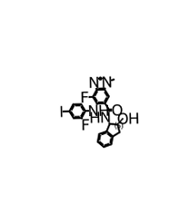 Cn1cnc2c(F)c(Nc3ccc(I)cc3F)c(C(=O)NC3c4ccccc4C[C@@H]3O)cc21